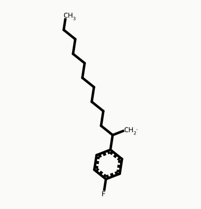 [CH2]C(CCCCCCCCCC)c1ccc(F)cc1